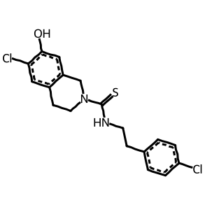 Oc1cc2c(cc1Cl)CCN(C(=S)NCCc1ccc(Cl)cc1)C2